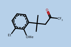 CCc1cccc(C(C)(C)CC(=O)C(F)(F)F)c1OC